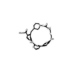 CNC(=O)c1ccc2cc1CC1CCCN(CC1)CC(=O)NCCCNc1ccc(cn1)-c1ccnc(n1)N2